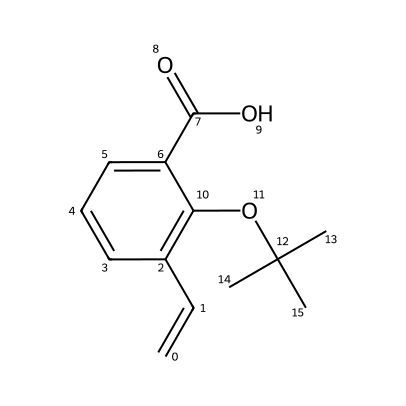 C=Cc1cccc(C(=O)O)c1OC(C)(C)C